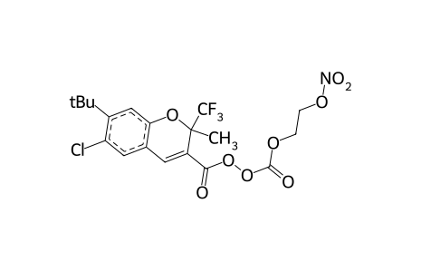 CC(C)(C)c1cc2c(cc1Cl)C=C(C(=O)OOC(=O)OCCO[N+](=O)[O-])C(C)(C(F)(F)F)O2